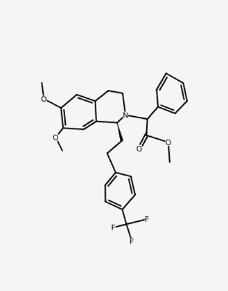 COC(=O)C(c1ccccc1)N1CCc2cc(OC)c(OC)cc2[C@@H]1CCc1ccc(C(F)(F)F)cc1